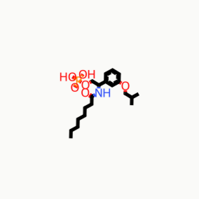 CCCCCCCC(=O)NC(COP(=O)(O)O)c1cccc(OCC(C)C)c1